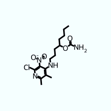 CCCCC(CCCNc1c(C)c(C)nc(Cl)c1[N+](=O)[O-])OC(N)=O